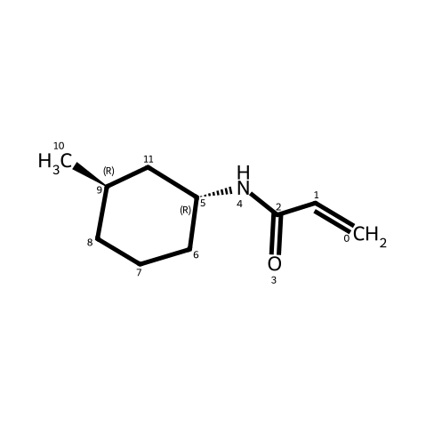 C=CC(=O)N[C@@H]1CCC[C@@H](C)C1